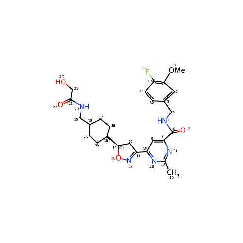 COc1cc(CNC(=O)c2cc(C3=NO[C@@H](C4CCC(CNC(=O)CO)CC4)C3)nc(C)n2)ccc1F